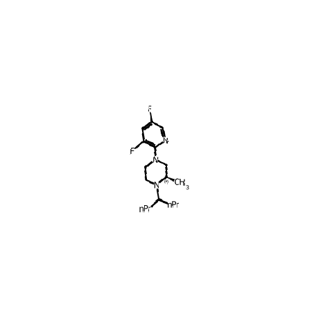 CCCC(CCC)N1CCN(c2ncc(F)cc2F)C[C@H]1C